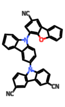 N#Cc1cc(-n2c3ccccc3c3cc(-n4c5ccc(C#N)cc5c5cc(C#N)ccc54)ccc32)c2oc3ccccc3c2c1